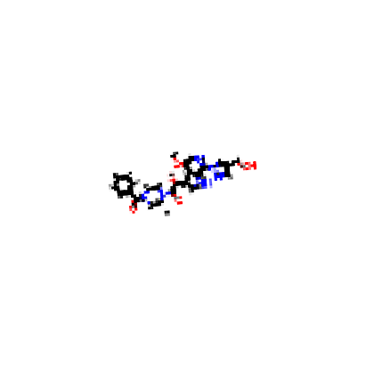 COc1cnc(-n2cc(CO)cn2)c2[nH]cc(C(=O)C(=O)N3CCN(C(=O)c4ccccc4)C[C@H]3C)c12